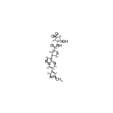 Cn1cc(-c2cnc3c(C4C=C(C(=O)N[C@@H]5CS(=O)(=O)C[C@H]5O)SC4)cnn3c2)cn1